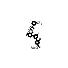 COC(=O)c1ccc(-c2cc(F)cc(C3=C(CN4C(=O)O[C@H](c5cc(C(F)(F)F)cc(C(F)(F)F)c5)[C@@H]4C)CC(C)(C)CC3)c2)c(F)c1